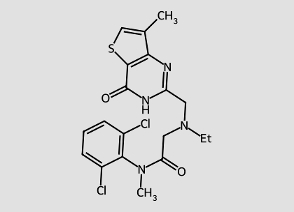 CCN(CC(=O)N(C)c1c(Cl)cccc1Cl)Cc1nc2c(C)csc2c(=O)[nH]1